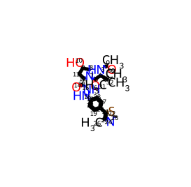 CC(=O)NC(C(=O)N1C[C@H](O)C[C@H]1C(=O)NNc1ccc(-c2scnc2C)cc1)C(C)(C)C